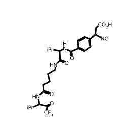 CC(C)C(NC(=O)c1ccc(C(CC(=O)O)N=O)cc1)C(=O)NCCCCC(=O)NC(C(=O)C(F)(F)F)C(C)C